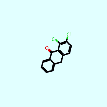 O=C1c2ccccc2Cc2ccc(Cl)c(Cl)c21